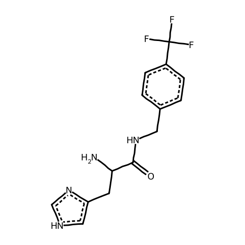 NC(Cc1c[nH]cn1)C(=O)NCc1ccc(C(F)(F)F)cc1